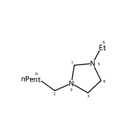 CCCCCCN1CCN(CC)C1